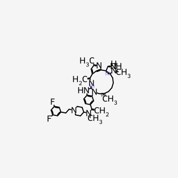 C=C1/N=C2\Nc3ccc(C(=C)N(C)C4CCN(CCc5cc(F)cc(F)c5)CC4)cc3N2C[C@H](C)CCCC/C(NC)=C(/C=N)c2cc1cc(C)n2